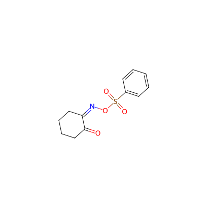 O=C1CCCCC1=NOS(=O)(=O)c1ccccc1